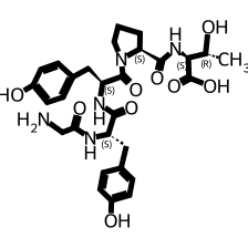 C[C@@H](O)[C@H](NC(=O)[C@@H]1CCCN1C(=O)[C@H](Cc1ccc(O)cc1)NC(=O)[C@H](Cc1ccc(O)cc1)NC(=O)CN)C(=O)O